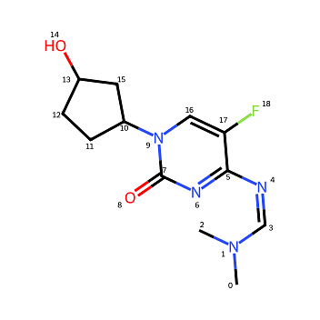 CN(C)/C=N\c1nc(=O)n(C2CCC(O)C2)cc1F